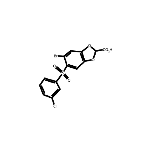 O=C(O)C1Oc2cc(Br)c(S(=O)(=O)c3cccc(Cl)c3)cc2O1